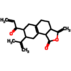 C=CC(=O)C1CC2=C(CC1C(=C)C)C1C(=O)OC(=C)C1CC2